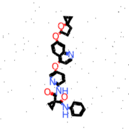 O=C(Nc1ccccc1)C1(C(=O)Nc2ccc(Oc3ccnc4cc(OC5CCC6(CC6)O5)ccc34)cn2)CC1